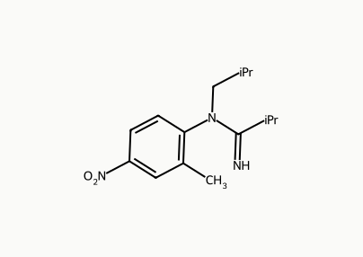 Cc1cc([N+](=O)[O-])ccc1N(CC(C)C)C(=N)C(C)C